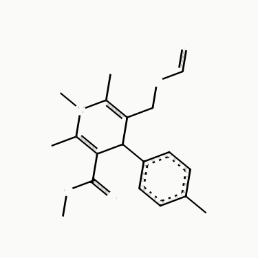 COC(=O)C1=C(C)N(C)C(C)=C(COC=O)C1c1ccc(C)cc1